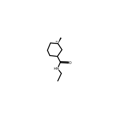 CCNC(=O)C1CCC[C@@H](C)C1